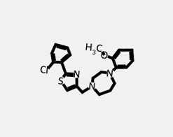 COc1ccccc1N1CCCN(Cc2csc(-c3ccccc3Cl)n2)CC1